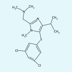 CC(C)c1nc(CN(C)C)n(C)c1Sc1cc(Cl)cc(Cl)c1